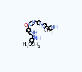 Cc1nc(N2CCC(CN3CCN(C(=O)c4ccc5cc(-c6n[nH]c7c6CCC(C)(C)C7)[nH]c5c4)CC3)CC2)ccc1C1CCCNC1